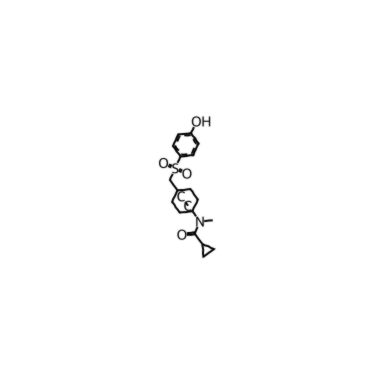 CN(C(=O)C1CC1)C12CCC(CS(=O)(=O)c3ccc(O)cc3)(CC1)CC2